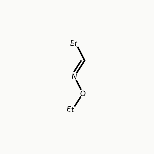 CCC=NOCC